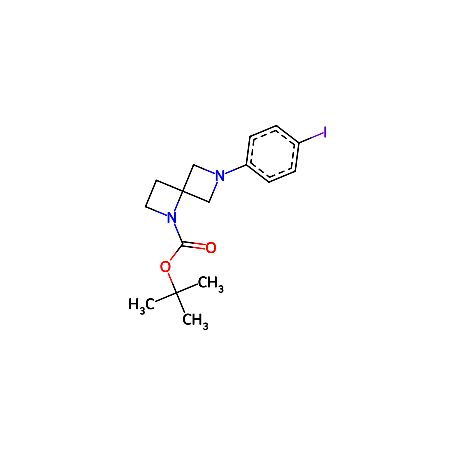 CC(C)(C)OC(=O)N1CCC12CN(c1ccc(I)cc1)C2